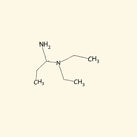 CC[C](N)N(CC)CC